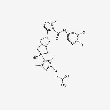 Cn1cnc(C2CC3CC(O)(c4c(F)c(OCC(O)C(F)(F)F)nn4C)CC3C2)c1C(=O)Nc1ccc(F)c(Cl)c1